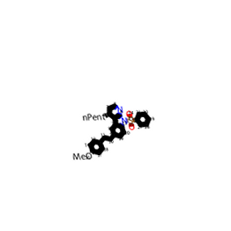 CCCCCc1ccnc2c1c1cc(C=Cc3ccc(OC)cc3)ccc1n2S(=O)(=O)c1ccccc1